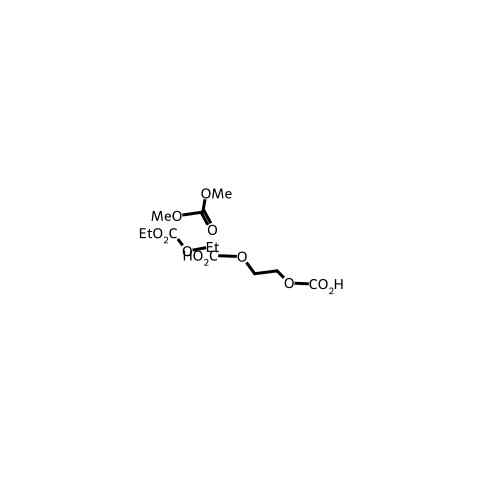 CCOC(=O)OCC.COC(=O)OC.O=C(O)OCCOC(=O)O